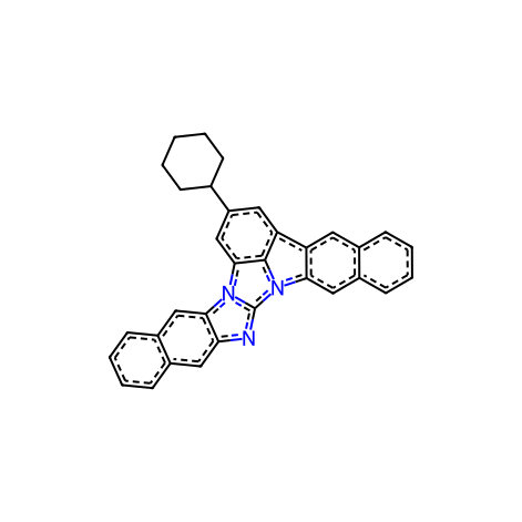 c1ccc2cc3c(cc2c1)nc1n3c2cc(C3CCCCC3)cc3c4cc5ccccc5cc4n1c32